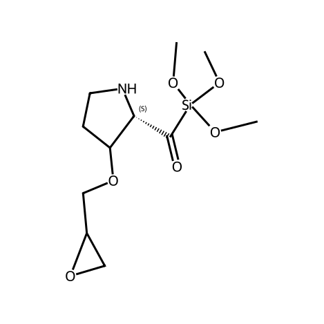 CO[Si](OC)(OC)C(=O)[C@H]1NCCC1OCC1CO1